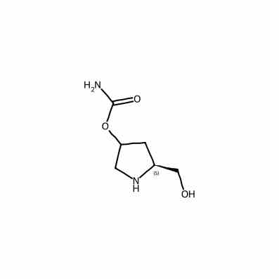 NC(=O)OC1CN[C@H](CO)C1